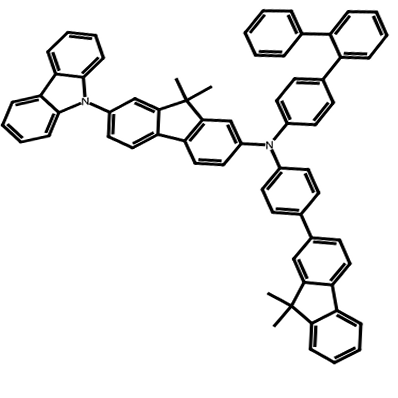 CC1(C)c2ccccc2-c2ccc(-c3ccc(N(c4ccc(-c5ccccc5-c5ccccc5)cc4)c4ccc5c(c4)C(C)(C)c4cc(-n6c7ccccc7c7ccccc76)ccc4-5)cc3)cc21